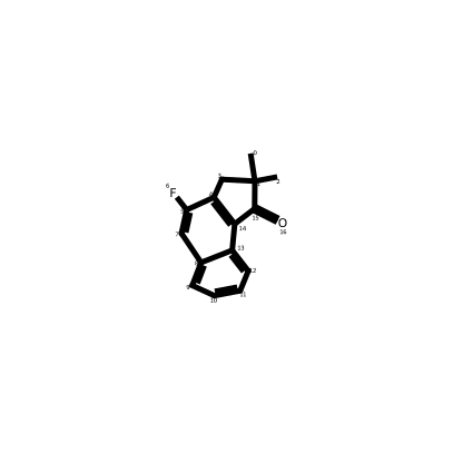 CC1(C)Cc2c(F)cc3ccccc3c2C1=O